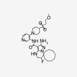 COCCS(=O)(=O)C1CCN(c2ccncc2NC(=O)c2c(N)nn3c2NCC(F)C32CCCCCCCC2)CC1